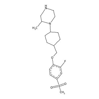 CC1CNCCN1C1CCC(COc2ccc(S(C)(=O)=O)cc2F)CC1